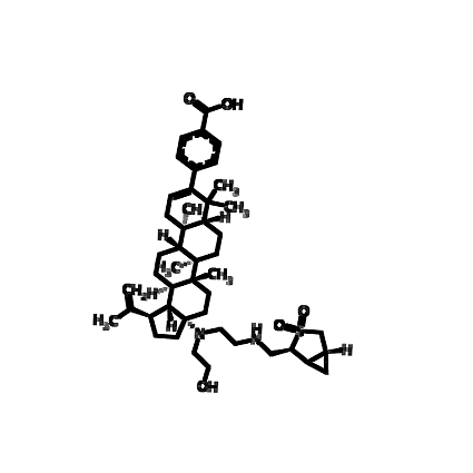 C=C(C)[C@@H]1CC[C@]2(N(CCO)CCNC[C@@H]3C4C[C@H]4CS3(=O)=O)CC[C@]3(C)[C@H](CC[C@@H]4[C@@]5(C)CC=C(c6ccc(C(=O)O)cc6)C(C)(C)[C@@H]5CC[C@]43C)[C@@H]12